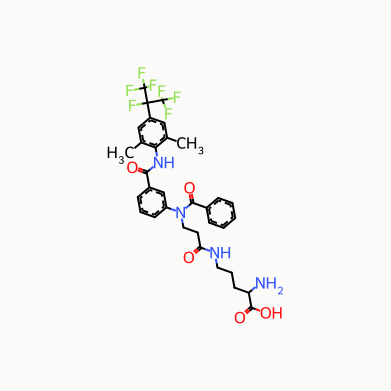 Cc1cc(C(F)(C(F)(F)F)C(F)(F)F)cc(C)c1NC(=O)c1cccc(N(CCC(=O)NCCCC(N)C(=O)O)C(=O)c2ccccc2)c1